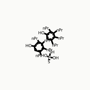 CCCc1cc(O)c(CCC)c(CCC)c1CCC.CCCc1cc(O)c(CCC)c(CCC)c1CCC.OP(O)(=S)S